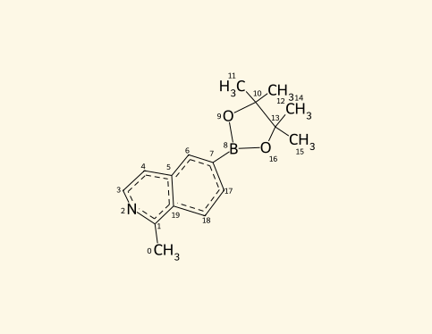 Cc1nccc2cc(B3OC(C)(C)C(C)(C)O3)ccc12